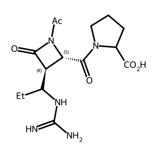 CCC(NC(=N)N)[C@H]1C(=O)N(C(C)=O)[C@@H]1C(=O)N1CCCC1C(=O)O